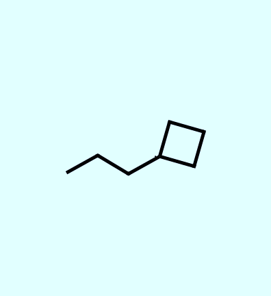 CCC[C]1CCC1